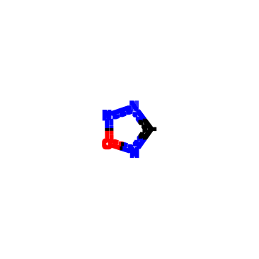 [c]1nnon1